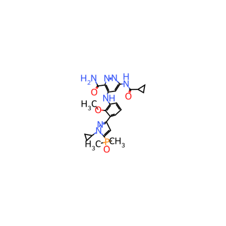 COc1c(Nc2cc(NC(=O)C3CC3)nnc2C(N)=O)cccc1-c1cc(P(C)(C)=O)n(C2CC2)n1